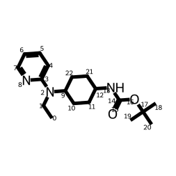 CCN(c1ccccn1)C1CCC(NC(=O)OC(C)(C)C)CC1